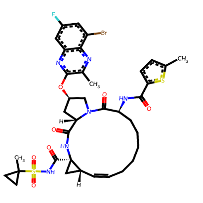 Cc1ccc(C(=O)N[C@H]2CCCCC/C=C\[C@@H]3C[C@@]3(C(=O)NS(=O)(=O)C3(C)CC3)NC(=O)[C@@H]3C[C@@H](Oc4nc5cc(F)cc(Br)c5nc4C)CN3C2=O)s1